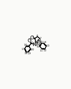 O=C(NN1C(=O)CCN1c1ccccc1)c1ccccc1